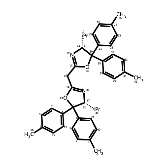 Cc1ccc(C2(c3ccc(C)cc3)OC(CC3=N[C@H](C(C)C)C(c4ccc(C)cc4)(c4ccc(C)cc4)O3)=N[C@@H]2C(C)C)cc1